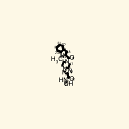 Cn1c(C(=O)N2CCn3nc(C(=O)NO)nc3C2)cc2ccccc21